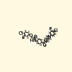 O=C(COc1ccc(Cl)c(F)c1)N[C@H]1CC[C@H](C(=O)N2CC3(CN(c4ccc(Cl)c(F)c4)C3)C2)CC1